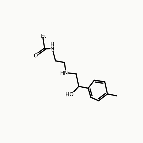 CCC(=O)NCCNCC(O)c1ccc(C)cc1